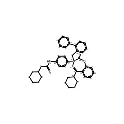 O=C(CC1CCCCC1)Nc1ccc([N+]2(Cc3ccccc3-c3ccccc3)N=C(C3CCCCC3)c3ccccc3NC2=O)cc1